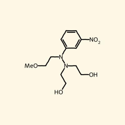 COCCN(c1cccc([N+](=O)[O-])c1)N(CCO)CCO